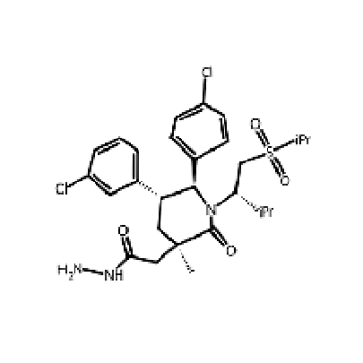 CC(C)[C@@H](CS(=O)(=O)C(C)C)N1C(=O)[C@@](C)(CC(=O)NN)C[C@H](c2cccc(Cl)c2)[C@H]1c1ccc(Cl)cc1